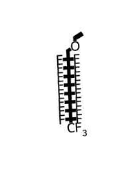 C=COCC(F)(F)C(F)(F)C(F)(F)C(F)(F)C(F)(F)C(F)(F)C(F)(F)C(F)(F)C(F)(F)F